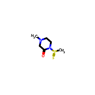 CN1CCN(S(C)=S)C(=O)C1